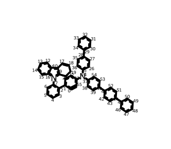 c1c(-c2ccccc2-n2c3c(c4ccccc42)C=CCC3)ccc(N(c2ccc(-c3ccccc3)cc2)c2ccc(-c3ccc(-c4ccccc4)cc3)cc2)c#1